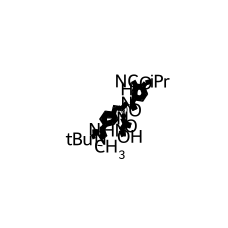 CC(C)Oc1ccc(C(=O)N[C@H](CNC(=O)NO)Cc2ccc(-c3cn(C)c(C(C)(C)C)n3)cc2)cc1C#N